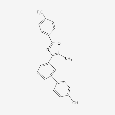 Cc1oc(-c2ccc(C(F)(F)F)cc2)nc1-c1cccc(-c2ccc(O)cc2)c1